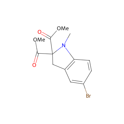 COC(=O)C1(C(=O)OC)Cc2cc(Br)ccc2N1C